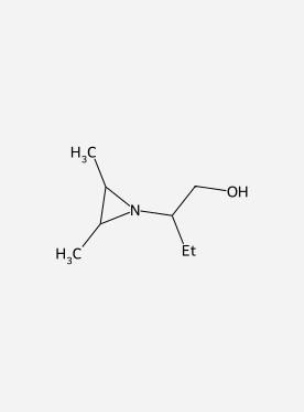 CCC(CO)N1C(C)C1C